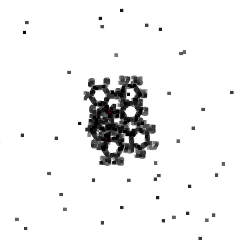 c1ccc([C](c2ccccc2)c2c(C(c3ccccc3)(c3ccccc3)c3ccccc3)ccc3ccccc23)cc1